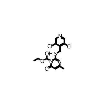 CCOC(O)n1c(SCc2c(Cl)cncc2Cl)nc(C)cc1=O